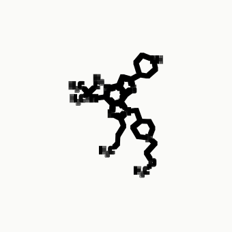 CCCCc1nc2c(NC(C)(C)C)nc3cc(C4CCNCC4)sc3c2n1CC1CCN(CCOC)CC1